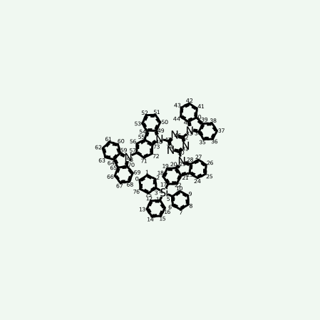 c1ccc([Si](c2ccccc2)(c2ccccc2)c2ccc3c(c2)c2ccccc2n3-c2nc(-n3c4ccccc4c4ccccc43)nc(-n3c4ccccc4c4cc(-n5c6ccccc6c6ccccc65)ccc43)n2)cc1